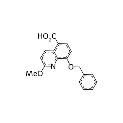 COc1ccc2c(C(=O)O)ccc(OCc3ccccc3)c2n1